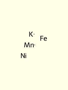 [Fe].[K].[Mn].[Ni]